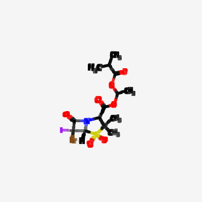 CC(OC(=O)C(C)C)OC(=O)[C@@H]1N2C(=O)[C@@](Br)(I)[C@H]2S(=O)(=O)C1(C)C